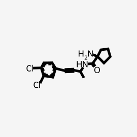 CC(C#Cc1ccc(Cl)c(Cl)c1)NC(=O)C1(N)CCCC1